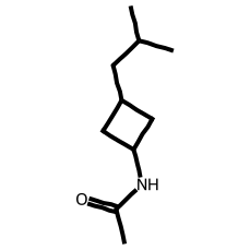 CC(=O)NC1CC(CC(C)C)C1